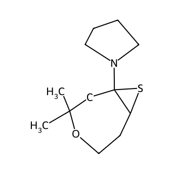 CC1(C)CC2(N3CCCC3)SC2CCO1